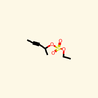 CC#CC(C)OS(=O)(=O)OCC